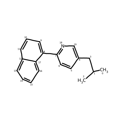 CC(C)Cc1ccc(-c2cccc3ccccc23)nc1